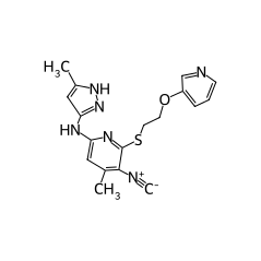 [C-]#[N+]c1c(C)cc(Nc2cc(C)[nH]n2)nc1SCCOc1cccnc1